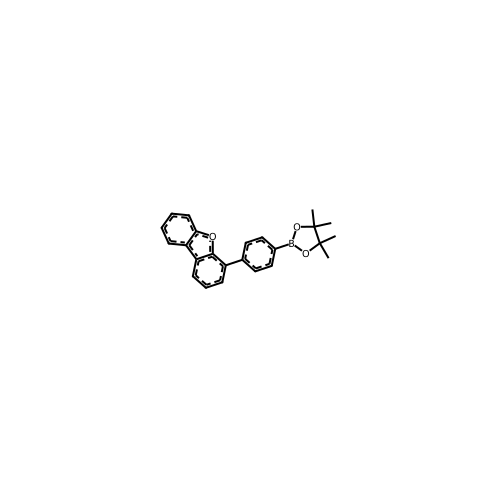 CC1(C)OB(c2ccc(-c3cccc4c3oc3ccccc34)cc2)OC1(C)C